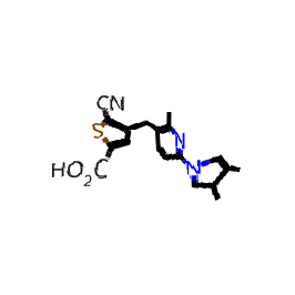 Cc1nc(N2CC(C)C(C)C2)ccc1Cc1cc(C(=O)O)sc1C#N